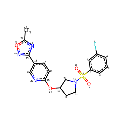 O=S(=O)(c1cccc(F)c1)N1CCC(Oc2ccc(-c3noc(C(F)(F)F)n3)cn2)C1